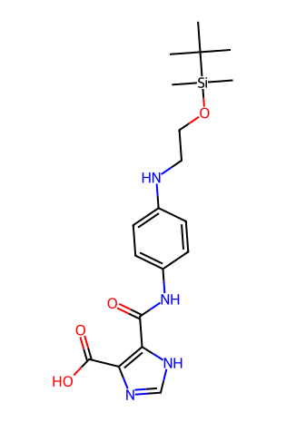 CC(C)(C)[Si](C)(C)OCCNc1ccc(NC(=O)c2[nH]cnc2C(=O)O)cc1